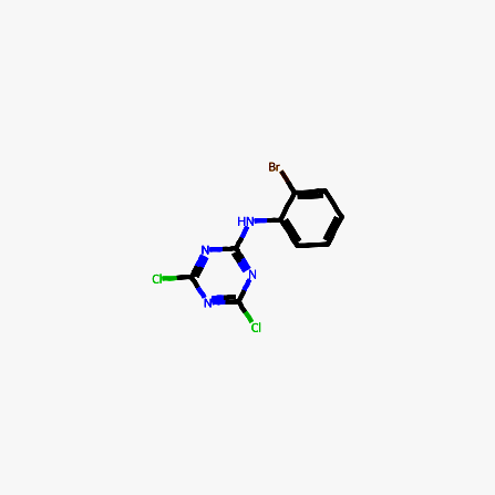 Clc1nc(Cl)nc(Nc2ccccc2Br)n1